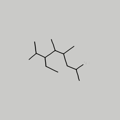 CCC(C(C)C)C(C)C(C)CC(C)N